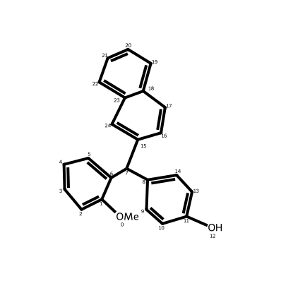 COc1ccccc1C(c1ccc(O)cc1)c1ccc2ccccc2c1